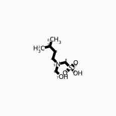 CC(C)CCN(CO)CS(=O)(=O)O